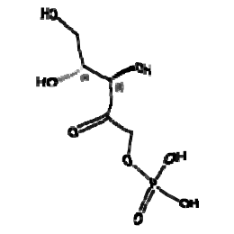 O=C(COP(=O)(O)O)[C@H](O)[C@H](O)CO